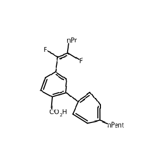 CCCCCc1ccc(-c2cc(C(F)=C(F)CCC)ccc2C(=O)O)cc1